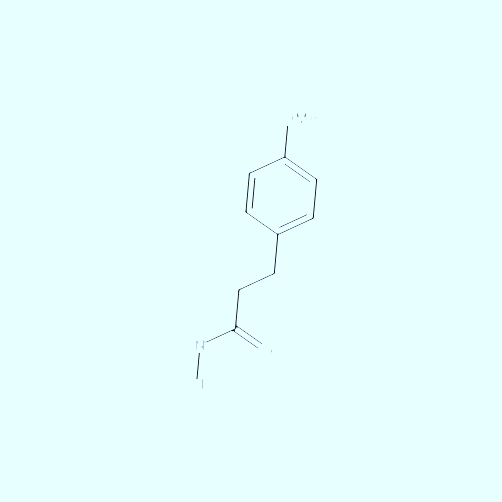 [CH2]CCNC(=O)CCc1ccc(OC)cc1